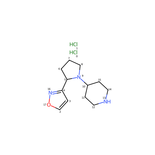 Cl.Cl.c1cc(C2CCCN2C2CCNCC2)no1